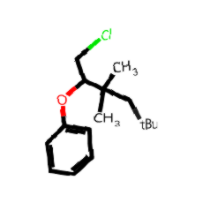 CC(C)(C)CC(C)(C)C(CCl)Oc1ccccc1